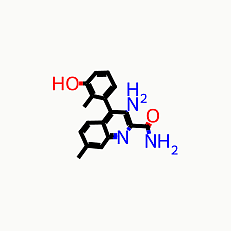 Cc1ccc2c(-c3cccc(O)c3C)c(N)c(C(N)=O)nc2c1